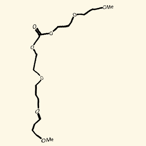 COCCOCCOCCOC(=O)OCCOCCOC